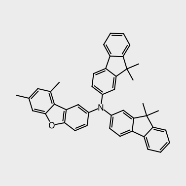 Cc1cc(C)c2c(c1)oc1ccc(N(c3ccc4c(c3)C(C)(C)c3ccccc3-4)c3ccc4c(c3)C(C)(C)c3ccccc3-4)cc12